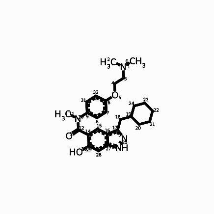 CN(C)CCOc1ccc(N(C)C(=O)c2cc3c(CC4CCCCC4)n[nH]c3cc2O)cc1